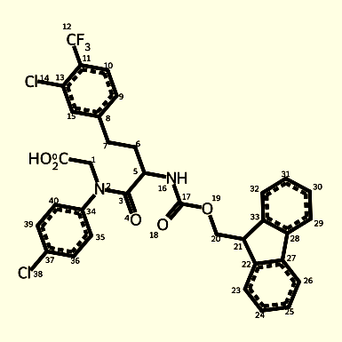 O=C(O)CN(C(=O)C(CCc1ccc(C(F)(F)F)c(Cl)c1)NC(=O)OCC1c2ccccc2-c2ccccc21)c1ccc(Cl)cc1